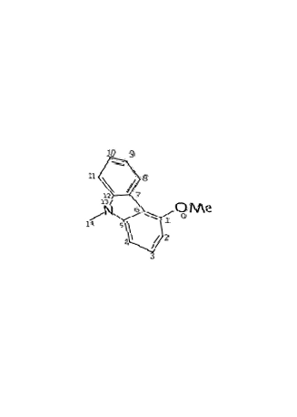 COc1cccc2c1c1ccccc1n2C